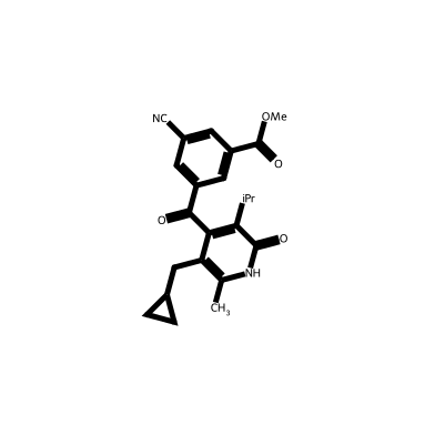 COC(=O)c1cc(C#N)cc(C(=O)c2c(CC3CC3)c(C)[nH]c(=O)c2C(C)C)c1